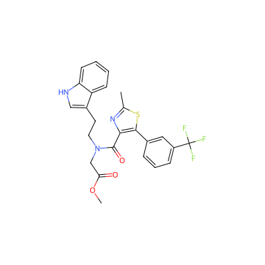 COC(=O)CN(CCc1c[nH]c2ccccc12)C(=O)c1nc(C)sc1-c1cccc(C(F)(F)F)c1